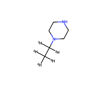 [2H]C([2H])([2H])C([2H])([2H])N1CCNCC1